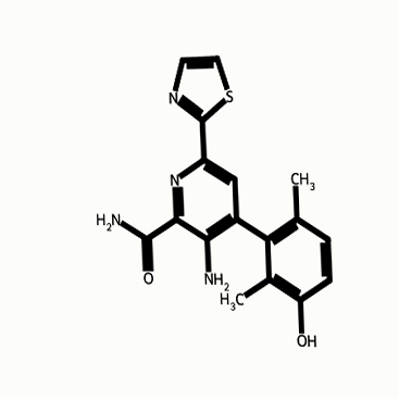 Cc1ccc(O)c(C)c1-c1cc(-c2nccs2)nc(C(N)=O)c1N